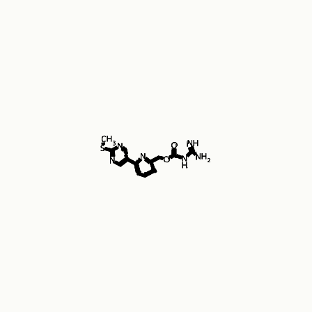 CSc1ncc(-c2cccc(COC(=O)NC(=N)N)n2)cn1